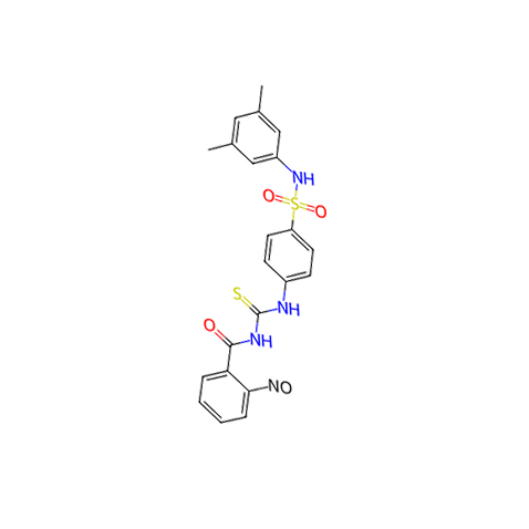 Cc1cc(C)cc(NS(=O)(=O)c2ccc(NC(=S)NC(=O)c3ccccc3N=O)cc2)c1